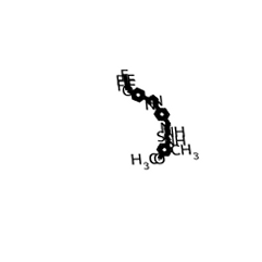 COc1ccc(NC(=S)N/N=C/c2ccc(C3=NC(c4ccc(OC(F)(F)C(F)(F)F)cc4)C=N3)cc2)c(C)c1